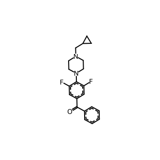 O=C(c1ccccc1)c1cc(F)c(N2CCN(CC3CC3)CC2)c(F)c1